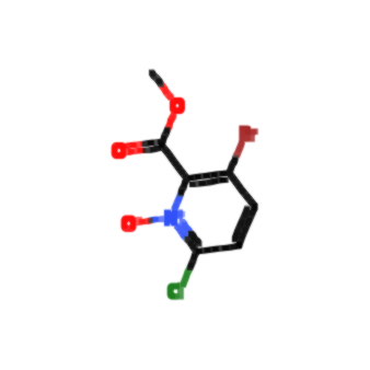 COC(=O)c1c(Br)ccc(Cl)[n+]1[O-]